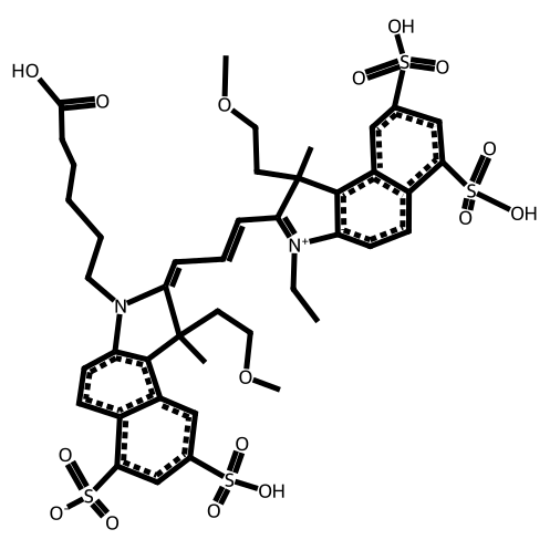 CC[N+]1=C(/C=C/C=C2/N(CCCCCC(=O)O)c3ccc4c(S(=O)(=O)[O-])cc(S(=O)(=O)O)cc4c3C2(C)CCOC)C(C)(CCOC)c2c1ccc1c(S(=O)(=O)O)cc(S(=O)(=O)O)cc21